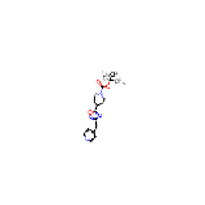 CC(C)(C)OC(=O)N1CCC(c2nc(Cc3ccncc3)no2)CC1